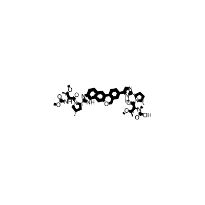 COC(=O)N[C@H](C(=O)N1C[C@@H](C)C[C@H]1c1nc2ccc3cc4c(cc3c2[nH]1)OCc1cc(-c2cnc([C@@H]3CC[C@H](C)N3C(=O)[C@H]([C@@H](C)OC)N(C)C(=O)O)[nH]2)ccc1-4)[C@@H](C)OC